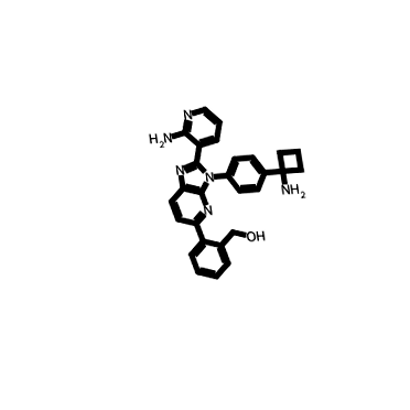 Nc1ncccc1-c1nc2ccc(-c3ccccc3CO)nc2n1-c1ccc(C2(N)CCC2)cc1